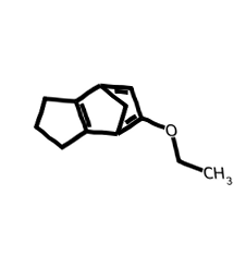 CCOC1=C2CC(=C1)C1=C2CCC1